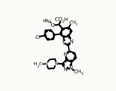 Cc1cc2nc(-c3ccc4c(n3)c(N3CCN(C)CC3)nn4C)sc2c(-c2ccc(Cl)cc2)c1C(OC(C)(C)C)C(=O)O